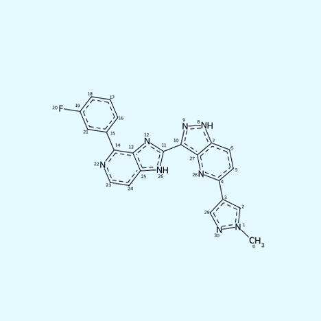 Cn1cc(-c2ccc3[nH]nc(-c4nc5c(-c6cccc(F)c6)nccc5[nH]4)c3n2)cn1